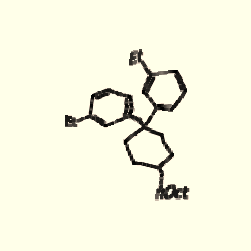 CCCCCCCCC1CCC(c2cccc(CC)c2)(c2cccc(CC)c2)CC1